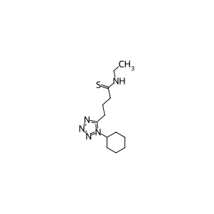 CCNC(=S)CCCc1nnnn1C1CCCCC1